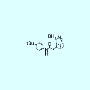 B.CC(C)(C)c1ccc(NC(=O)C=C2C3CC4CC2CN(C4)C3)cc1